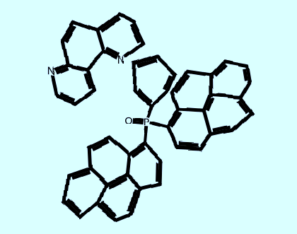 O=P(c1ccccc1)(c1ccc2ccc3cccc4ccc1c2c34)c1ccc2ccc3cccc4ccc1c2c34.c1cnc2c(c1)ccc1ncccc12